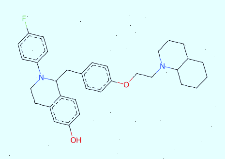 Oc1ccc2c(c1)CCN(c1ccc(F)cc1)C2Cc1ccc(OCCN2CCCC3CCCCC32)cc1